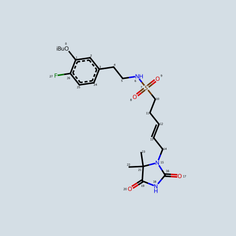 CC(C)COc1cc(CCNS(=O)(=O)CCC=CCN2C(=O)NC(=O)C2(C)C)ccc1F